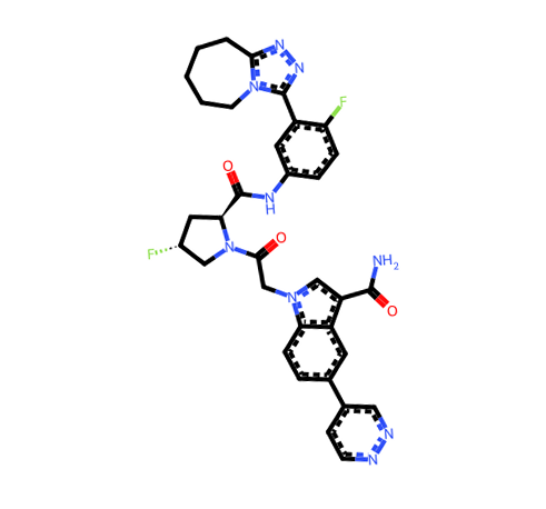 NC(=O)c1cn(CC(=O)N2C[C@H](F)C[C@H]2C(=O)Nc2ccc(F)c(-c3nnc4n3CCCCC4)c2)c2ccc(-c3ccnnc3)cc12